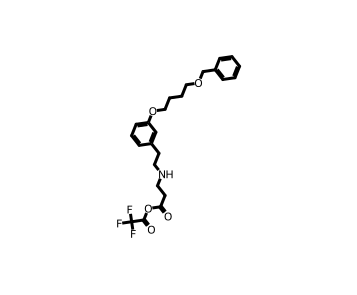 O=C(CCNCCc1cccc(OCCCCOCc2ccccc2)c1)OC(=O)C(F)(F)F